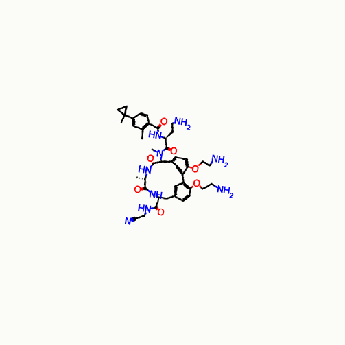 Cc1cc(C2(C)CC2)ccc1C(=O)N[C@@H](CCN)C(=O)N(C)[C@@H]1C(=O)N[C@@H](C)C(=O)N[C@H](C(=O)NCC#N)Cc2ccc(OCCN)c(c2)-c2cc1ccc2OCCN